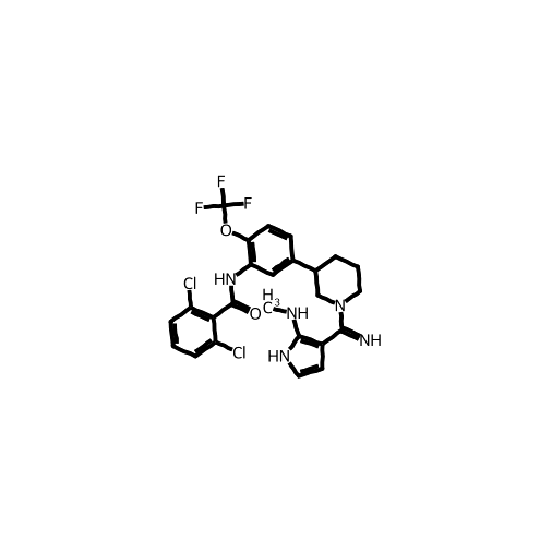 CNc1[nH]ccc1C(=N)N1CCCC(c2ccc(OC(F)(F)F)c(NC(=O)c3c(Cl)cccc3Cl)c2)C1